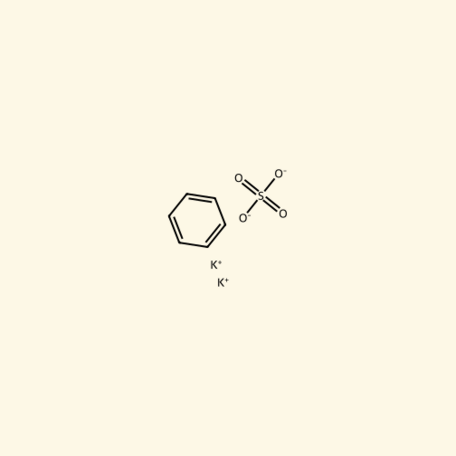 O=S(=O)([O-])[O-].[K+].[K+].c1ccccc1